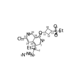 CC[C@@](C)(N=[N+]=[N-])c1cnc(OC2CC(S(=O)(=O)CC)C2)c2cnc(Cl)cc12